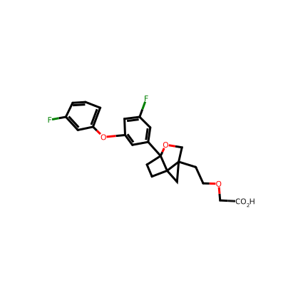 O=C(O)COCCC12COC3(c4cc(F)cc(Oc5cccc(F)c5)c4)CCC13C2